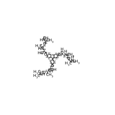 CNC(C)COCC(C)NCC(O)COc1ccc(C(c2ccc(OCC(O)CNC(C)COCC(C)NC)cc2)c2ccc(OCC(O)CNC(C)COCC(C)NC)cc2)cc1